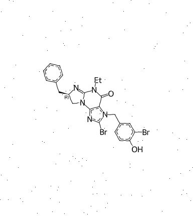 CCN1C(=O)c2c(nc(Br)n2Cc2ccc(O)c(Br)c2)N2C[C@@H](Cc3ccccc3)N=C12